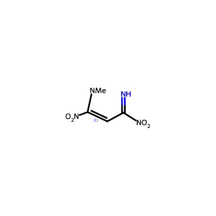 CN/C(=C\C(=N)[N+](=O)[O-])[N+](=O)[O-]